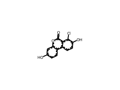 O=c1oc2cc(O)ccc2c2ccc(O)c(Cl)c12